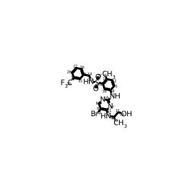 Cc1ccc(Nc2ncc(Br)c(N[C@H](C)CO)n2)cc1S(=O)(=O)NCc1cccc(C(F)(F)F)c1